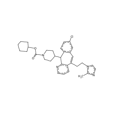 Cc1nccn1CCC1=Cc2cc(Cl)ccc2C(C2CCN(C(=O)OC3CCCCC3)CC2)c2ncccc21